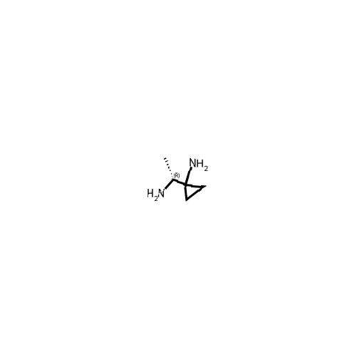 C[C@@H](N)C1(N)CC1